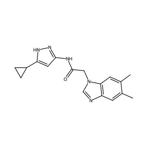 Cc1cc2ncn(CC(=O)Nc3cc(C4CC4)[nH]n3)c2cc1C